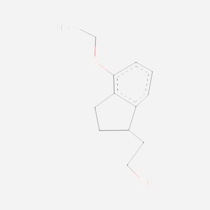 O=C(O)COc1cccc2c1CCC2CCO